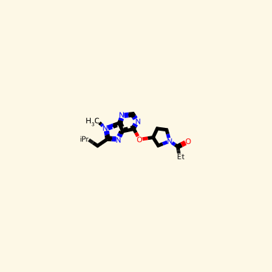 CCC(=O)N1CCC(Oc2ncnc3c2nc(CC(C)C)n3C)C1